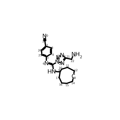 N#Cc1ccc(N=C(NC2CCCCCCCC2)n2nnc(CN)n2)cc1